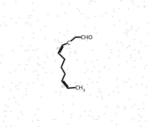 C/C=C\CCC/C=C\CCC=O